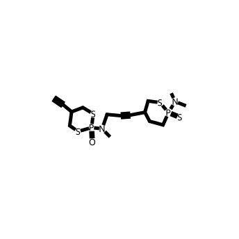 C#CC1CSP(=O)(N(C)CC#CC2CCP(=S)(N(C)C)SC2)SC1